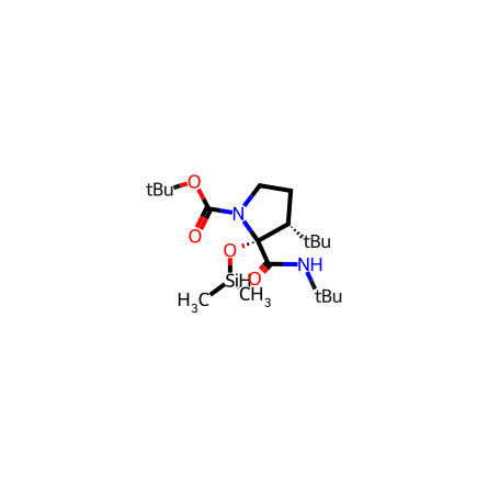 C[SiH](C)O[C@@]1(C(=O)NC(C)(C)C)[C@@H](C(C)(C)C)CCN1C(=O)OC(C)(C)C